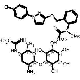 COC(=O)N(OC)c1ccccc1COc1ccn(-c2ccc(Cl)cc2)n1.C[C@H]1O[C@H](O[C@H]2[C@H](O)[C@@H](O)[C@@H](O)[C@H](O)[C@@H]2O)[C@@H](N)C[C@@H]1NC(=N)C(=O)O